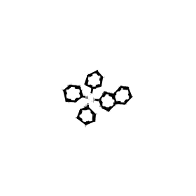 c1ccc([Si](c2ccccc2)(c2ccccc2)c2ccc3ccccc3c2)cc1